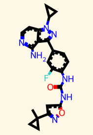 CC1(c2cc(NC(=O)Nc3ccc(-c4nn(C5CC5)c5ccnc(N)c45)cc3F)on2)CC1